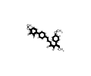 C/C=C(\C(F)=C(\F)CCCC1CCC(c2ccc(OC)c(F)c2F)CC1)C1CCC(OC)CC1